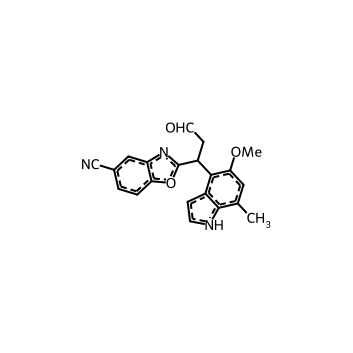 COc1cc(C)c2[nH]ccc2c1C(CC=O)c1nc2cc(C#N)ccc2o1